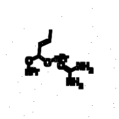 CC=CC(OCCC)OCCC.NC(N)=O